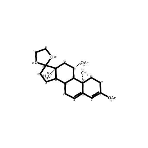 CC(=O)OC1=CC2=CCC3C([C@@H](OC(C)=O)C[C@@]4(C)C3CCC43OCCO3)[C@@]2(C)CC1